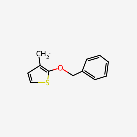 [CH2]c1ccsc1OCc1ccccc1